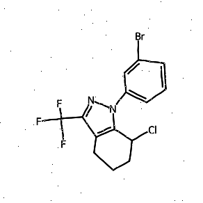 FC(F)(F)c1nn(-c2cccc(Br)c2)c2c1CCCC2Cl